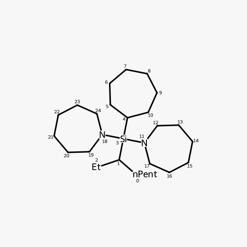 CCCCCC(CC)[Si](C1CCCCCC1)(N1CCCCCC1)N1CCCCCC1